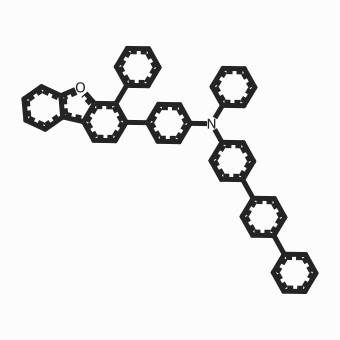 c1ccc(-c2ccc(-c3ccc(N(c4ccccc4)c4ccc(-c5ccc6c(oc7ccccc76)c5-c5ccccc5)cc4)cc3)cc2)cc1